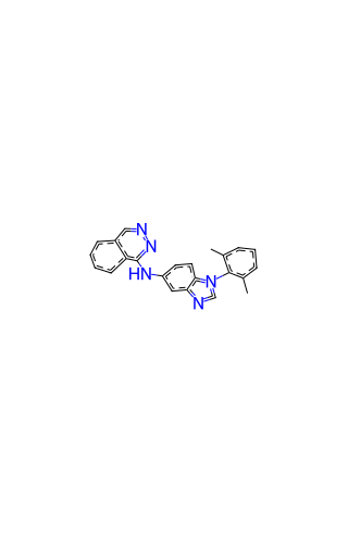 Cc1cccc(C)c1-n1cnc2cc(Nc3nncc4ccccc34)ccc21